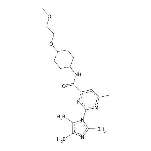 Bc1nc(B)n(-c2nc(C)cc(C(=O)NC3CCC(OCCOC)CC3)n2)c1B